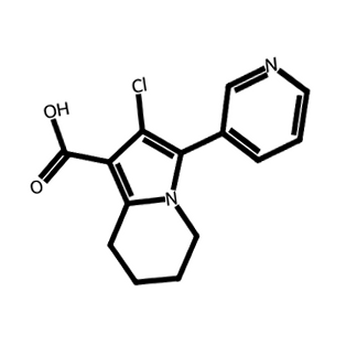 O=C(O)c1c(Cl)c(-c2cccnc2)n2c1CCCC2